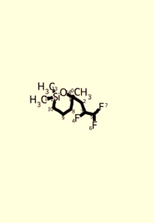 CC1(CC(F)C(F)F)CCC[Si](C)(C)O1